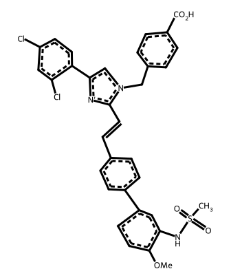 COc1ccc(-c2ccc(C=Cc3nc(-c4ccc(Cl)cc4Cl)cn3Cc3ccc(C(=O)O)cc3)cc2)cc1NS(C)(=O)=O